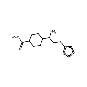 COC(=O)C1CCC(C(N)CSc2cccs2)CC1